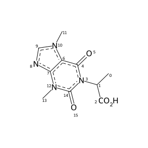 CC(C(=O)O)n1c(=O)c2c(ncn2C)n(C)c1=O